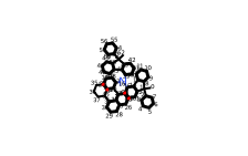 CC1(c2ccccc2)c2ccccc2-c2c(N(c3ccccc3-c3cccc4cccc(C5CCCCC5)c34)c3cccc4c3-c3ccccc3C4(C)c3ccccc3)cccc21